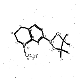 CC1(C)OB(c2ccc3c(c2)N(C(=O)O)CCC3)OC1(C)C